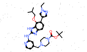 CCn1cc(-c2ccc3nc(Nc4cc(CN5CCN(C(=O)OC(C)(C)C)CC5)ccn4)[nH]c3c2OCC(C)C)cn1